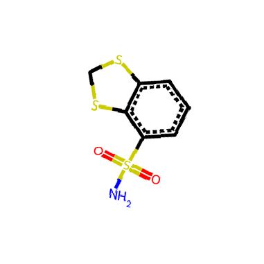 NS(=O)(=O)c1cccc2c1SCS2